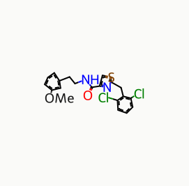 COc1cccc(CCNC(=O)c2csc(Cc3c(Cl)cccc3Cl)n2)c1